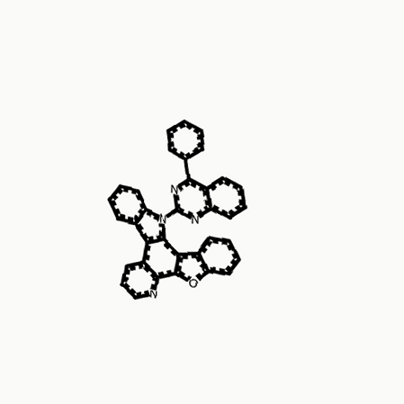 c1ccc(-c2nc(-n3c4ccccc4c4c5cccnc5c5oc6ccccc6c5c43)nc3ccccc23)cc1